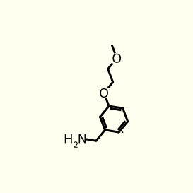 COCCOc1cc[c]c(CN)c1